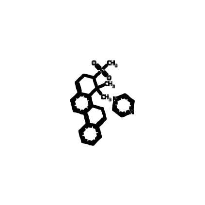 CC1(C)c2c3c(ccc2=CCC1S(C)(=O)=O)=c1ccccc1=CC3.c1cnccn1